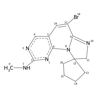 CNc1ncc2c(n1)N1C(=NCC13CCCC3)C(Br)=C2